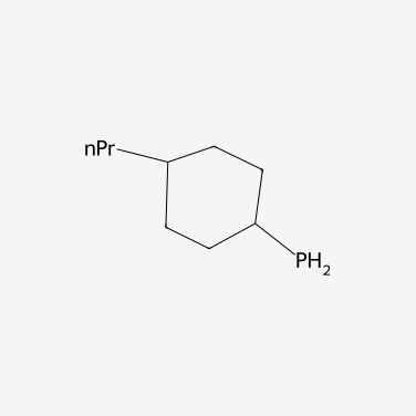 CCCC1CCC(P)CC1